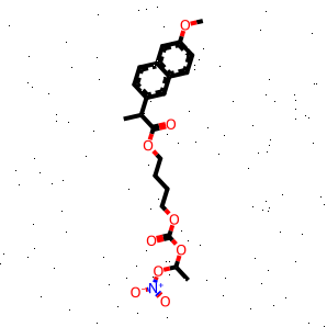 COc1ccc2cc(C(C)C(=O)OCCCCOC(=O)OC(C)O[N+](=O)[O-])ccc2c1